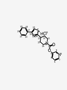 Cl.O=C(Oc1cccnc1)N1CCC(c2nc(-c3ccccc3)cs2)CC1